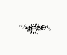 CCCn1c(=O)n([C@H]2C[C@@H]2C)c(=O)c2c(C)c(CNNC(=O)OC(C)(C)C)sc21